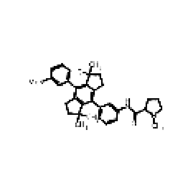 CNc1cccc(-c2c3c(c(-c4cccc(NC(=O)C5CCCN5C)c4)c4c2C(C)(C)CC4)C(C)(C)CC3)c1